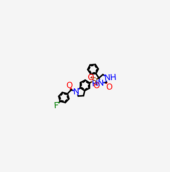 O=C1NCC(c2ccccc2)(S(=O)(=O)c2ccc3c(c2)CCN3C(=O)c2ccc(F)cc2)N1